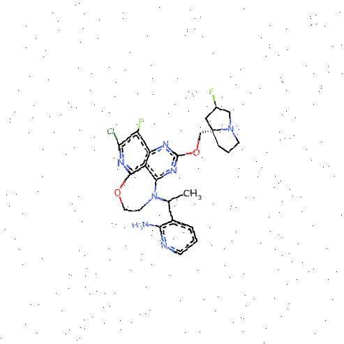 CC(c1cccnc1N)N1CCOc2nc(Cl)c(F)c3nc(OC[C@@]45CCCN4C[C@H](F)C5)nc1c23